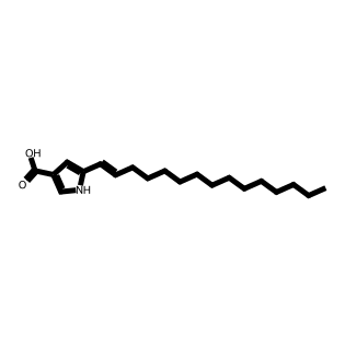 CCCCCCCCCCCCC/C=C/c1cc(C(=O)O)c[nH]1